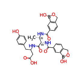 C[C@H](NC(=O)c1ccc2c(c1)B(O)OC2)[C@H](NC(=O)c1ccc2c(c1)B(O)OC2)C(=O)NC(CC(=O)O)Cc1ccc(O)cc1